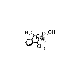 CC(C)c1ccccc1C(C)C.OCOO